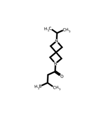 BC(C)CC(=O)N1CC2(C1)CN(C(C)C)C2